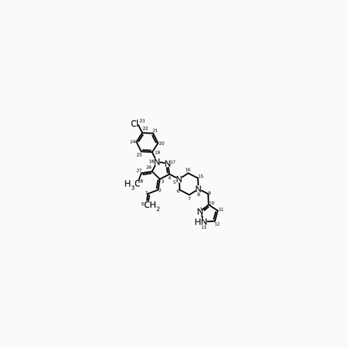 C=C/C=c1/c(N2CCN(Cc3cc[nH]n3)CC2)nn(-c2ccc(Cl)cc2)/c1=C/C